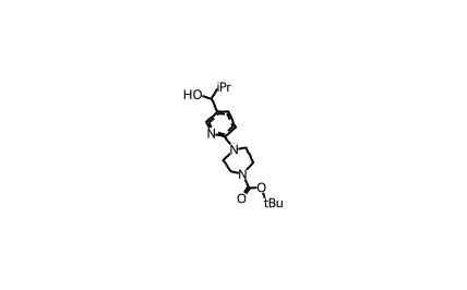 CC(C)C(O)c1ccc(N2CCN(C(=O)OC(C)(C)C)CC2)nc1